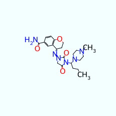 CCCC(N1CCN(C)CC1)N1C(=O)CN(/N=C2\CCOc3ccc(C(N)=O)cc32)C1=O